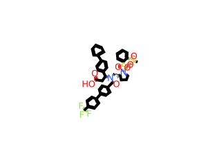 CS(=O)(=O)c1ccccc1S(=O)(=O)N1CCC[C@@H]1CN(C(=O)c1ccc(-c2ccc(C(F)(F)F)cc2)cc1)C(CC(=O)O)c1ccc(-c2ccccc2)cc1